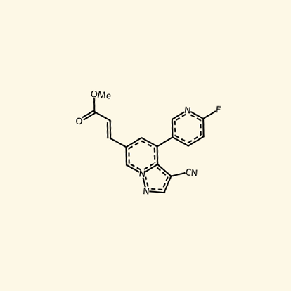 COC(=O)/C=C/c1cc(-c2ccc(F)nc2)c2c(C#N)cnn2c1